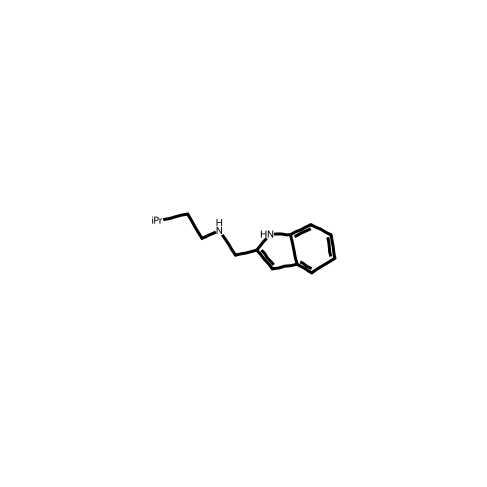 CC(C)CCNCc1cc2ccccc2[nH]1